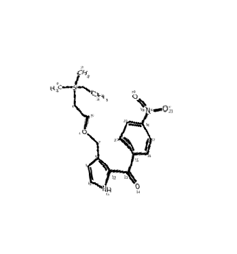 C[Si](C)(C)CCOCc1cc[nH]c1C(=O)c1ccc([N+](=O)[O-])cc1